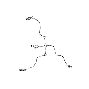 CCCCCCCCCCCCO[Si](C)(CCCS)OCCCCCCCCCCCC